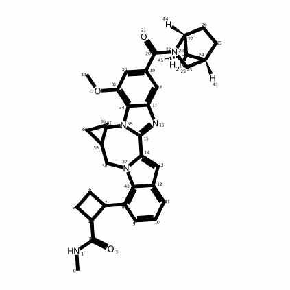 CNC(=O)C1CCC1c1cccc2cc(-c3nc4cc(C(=O)N5C[C@H]6CC[C@@H]5[C@@H]6N)cc(OC)c4n3C)n(CC3CC3)c12